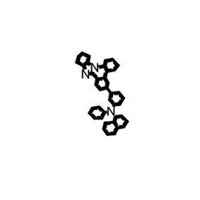 c1ccc(N(c2cccc(-c3ccc4c(c3)c3ccccc3n3c5ccccc5nc43)c2)c2cccc3ccccc23)cc1